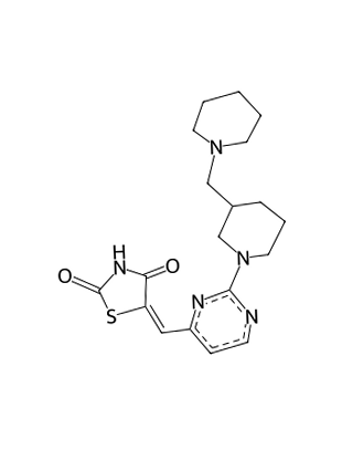 O=C1NC(=O)/C(=C\c2ccnc(N3CCCC(CN4CCCCC4)C3)n2)S1